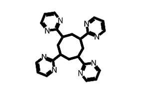 c1cnc(C2CC(c3ncccn3)CC(c3ncccn3)CC(c3ncccn3)C2)nc1